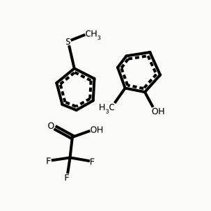 CSc1ccccc1.Cc1ccccc1O.O=C(O)C(F)(F)F